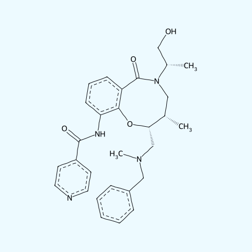 C[C@H]1CN([C@@H](C)CO)C(=O)c2cccc(NC(=O)c3ccncc3)c2O[C@H]1CN(C)Cc1ccccc1